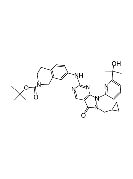 CC(C)(C)OC(=O)N1CCc2ccc(Nc3ncc4c(=O)n(CC5CC5)n(-c5cccc(C(C)(C)O)n5)c4n3)cc2C1